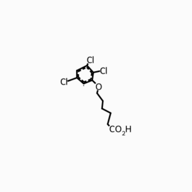 O=C(O)CCCCCOc1[c]c(Cl)cc(Cl)c1Cl